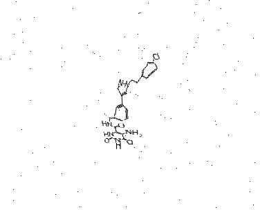 C[C@@H](NC(=O)c1[nH]c(=O)[nH]c(=O)c1N)c1cccc(-c2cnn(CCc3ccc(Cl)cc3)c2)c1